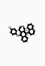 Fc1ccc(Sc2c3ccccc3c(-c3cccc4ccccc34)c3cnccc23)cc1